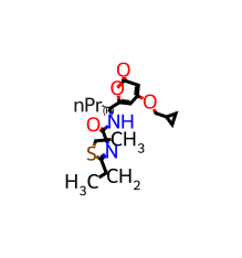 C=C(C)C1=NC(C)(C(=O)N[C@H](CCC)c2cc(OCC3CC3)cc(=O)o2)CS1